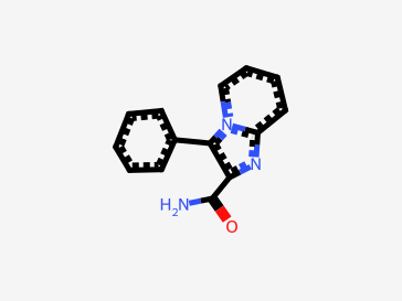 NC(=O)c1nc2ccccn2c1-c1ccccc1